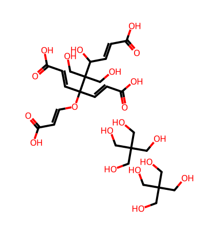 O=C(O)C=COC(C=CC(=O)O)(C=CC(=O)O)C(CO)(CO)C(O)C=CC(=O)O.OCC(CO)(CO)CO.OCC(CO)(CO)CO